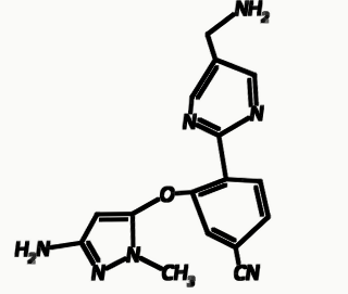 Cn1nc(N)cc1Oc1cc(C#N)ccc1-c1ncc(CN)cn1